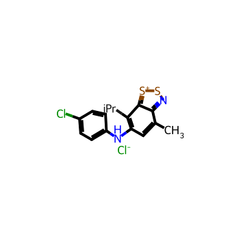 Cc1cc(Nc2ccc(Cl)cc2)c(C(C)C)c2[s+]snc12.[Cl-]